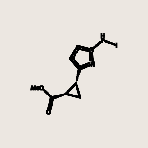 COC(=O)[C@@H]1C[C@H]1c1ccn(PI)n1